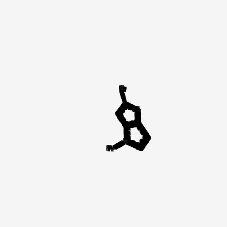 CC(C)c1cc2c(ccn2C(C)C)s1